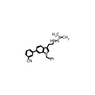 CC(C)Cn1cc(CCNSN(C)C)c2ccc(-c3cccc(C#N)c3)cc21